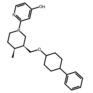 C[C@H]1CCN(c2cc(O)ccn2)C[C@H]1COC1CCC(c2ccccc2)CC1